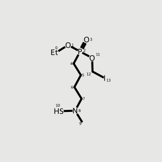 CCOP(=O)(CCCCN(C)S)OCI